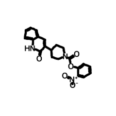 O=C(Oc1ccccc1[N+](=O)[O-])N1CCC(c2cc3ccccc3[nH]c2=O)CC1